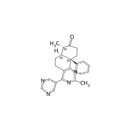 Cc1nc(-c2cncnc2)c2c(n1)[C@@]1(c3ccccc3)CCC(=O)[C@@H](C)[C@@H]1CC2